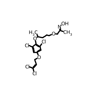 CC(COCCCC(C)Oc1c(Cl)cc(OCC=C(Cl)Cl)cc1Cl)=NO